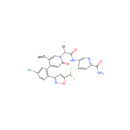 CCC(C(=O)Nc1ccc(C(N)=O)nc1)n1cc(OC)c(-c2cc(Cl)ccc2-c2cc(C(F)F)on2)cc1=O